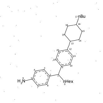 CCCCCCC(c1ccc(N)cc1)c1ccc(C2CCC(CCCC)CC2)cc1